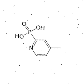 Cc1ccnc(P(=O)(O)O)c1